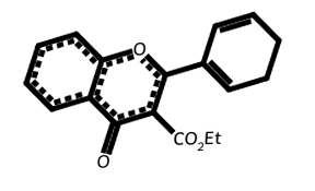 CCOC(=O)c1c(C2=CCCC=C2)oc2ccccc2c1=O